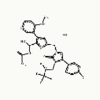 CNc1ccncc1-n1nc(Cn2nc(-c3ccc(Cl)cc3)n(C[C@H](O)C(F)(F)F)c2=O)nc1C(C)NC(C)=O.Cl